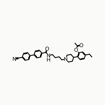 CCc1ccc(C2CCN(CCCCNC(=O)c3ccc(-c4ccc(C#N)cc4)cc3)CC2)c(OC(C)=O)c1